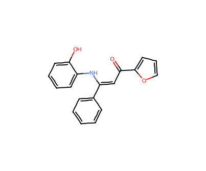 O=C(/C=C(\Nc1ccccc1O)c1ccccc1)c1ccco1